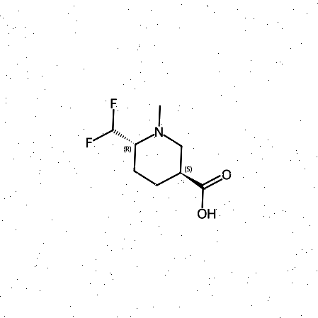 CN1C[C@@H](C(=O)O)CC[C@@H]1C(F)F